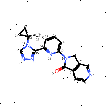 O=C1c2ccncc2CN1c1cccc(-c2nncn2C2(C(F)(F)F)CC2)n1